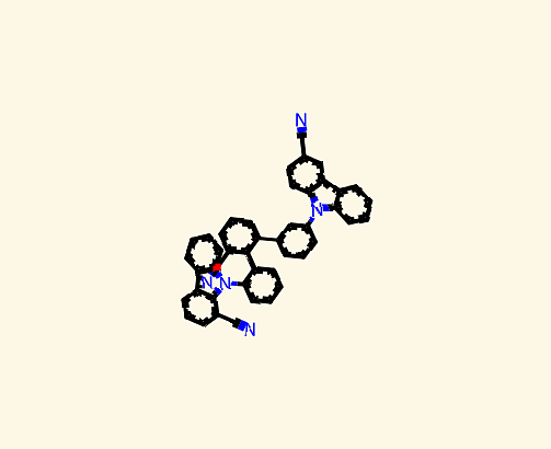 N#Cc1ccc2c(c1)c1ccccc1n2-c1cccc(-c2cccc(C#N)c2-c2ccccc2-n2c3ccccc3c3cccc(C#N)c32)c1